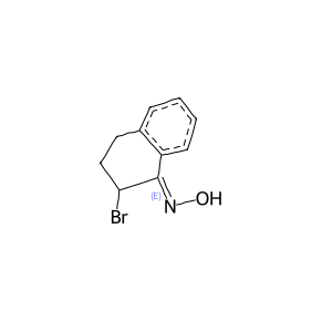 O/N=C1\c2ccccc2CCC1Br